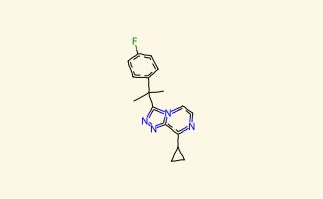 CC(C)(c1ccc(F)cc1)c1nnc2c(C3CC3)nccn12